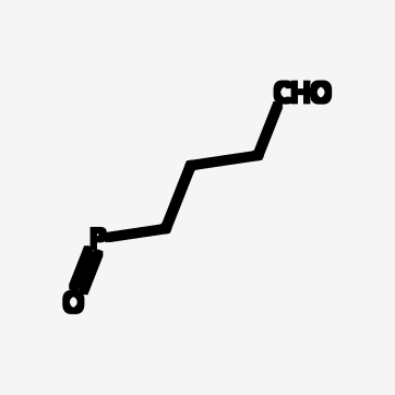 O=CCCCP=O